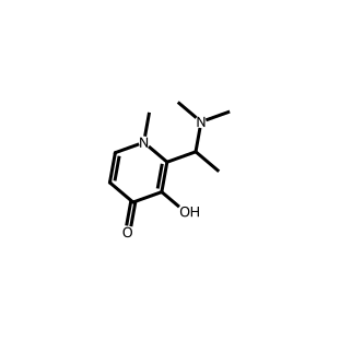 CC(c1c(O)c(=O)ccn1C)N(C)C